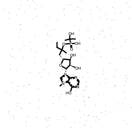 CCC(C)(C[C@H]1O[C@@H](n2c[n+](C)c3c(O)ncnc32)[C@H](O)[C@@H]1O)OP(=O)(O)C(C)(C)O